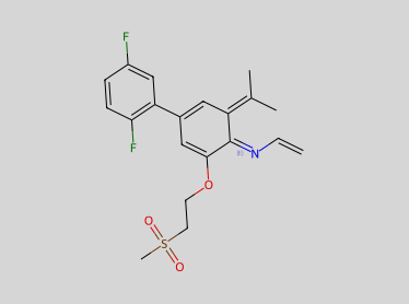 C=C/N=C1/C(OCCS(C)(=O)=O)=CC(c2cc(F)ccc2F)=CC1=C(C)C